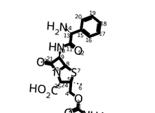 CC(=O)NC(=O)OC[C@]1(C)SC2[C@H](NC(=O)[C@H](N)c3ccccc3)C(=O)N2[C@H]1C(=O)O